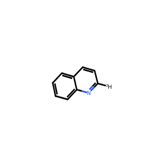 [2H]c1ccc2ccccc2n1